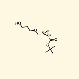 CC(C)(C)OC(=O)[C@H]1C[C@H]1COCCCO